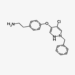 NCCc1ccc(OC2=CNN(Cc3ccccc3)C=C2Cl)cc1